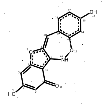 O=C1C=C(O)C=c2oc3c(c21)NOc1cc(O)ccc1C=3